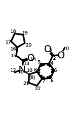 COC(=O)c1ccc2c(c1)[C@H](N(C)C(=O)CC1CCCC1)CC2